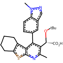 Cc1nc2sc3c(c2c(-c2ccc4c(cnn4C)c2)c1[C@H](OC(C)(C)C)C(=O)O)CCCC3